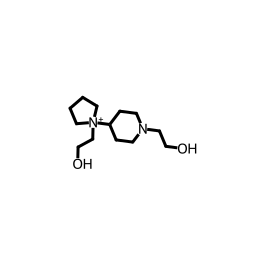 OCCN1CCC([N+]2(CCO)CCCC2)CC1